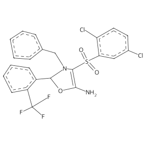 NC1=C(S(=O)(=O)c2cc(Cl)ccc2Cl)N(Cc2ccccc2)C(c2ccccc2C(F)(F)F)O1